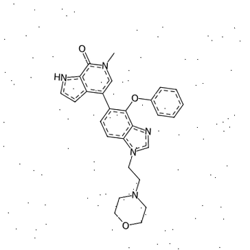 Cn1cc(-c2ccc3c(ncn3CCN3CCOCC3)c2Oc2ccccc2)c2cc[nH]c2c1=O